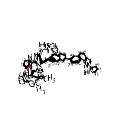 CO[C@H](C)[C@H](NC(=O)O)C(=O)N1[C@@H]2CC[C@@H](C2)[C@H]1c1ncc(-c2ccc3cc(-c4ccc5c(ccc6nc([C@@H]7CCCN7)[nH]c65)c4)ccc3c2)[nH]1.Cl.Cl.Cl